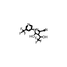 N#CC1=NN(c2cncc(C(F)(F)F)c2)C(O)C1C(O)C(F)(F)F